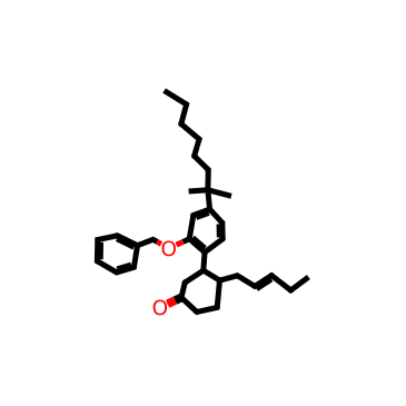 CC/C=C/CC1CCC(=O)CC1c1ccc(C(C)(C)CCCCCC)cc1OCc1ccccc1